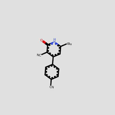 CC(C)(C)c1cc(-c2ccc(C#N)cc2)c(C#N)c(=O)[nH]1